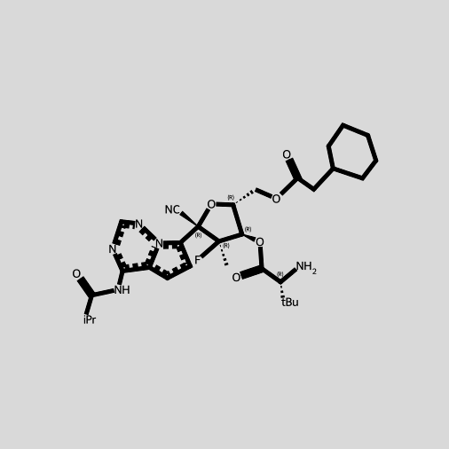 CC(C)C(=O)Nc1ncnn2c([C@]3(C#N)O[C@H](COC(=O)CC4CCCCC4)[C@@H](OC(=O)[C@H](N)C(C)(C)C)[C@@]3(C)F)ccc12